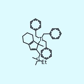 CC[Si](C)(C)CC1=CC2=C(CCCC2)[C]1(C)[Ti]([CH2]c1ccccc1)([CH2]c1ccccc1)[CH2]c1ccccc1